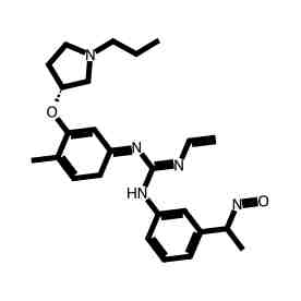 C=C/N=C(\N=C1\C=C(O[C@@H]2CCN(CCC)C2)C(C)=CC1)Nc1cccc(C(C)N=O)c1